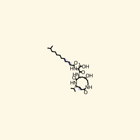 CC(C)CCCCC/C=C/C=C/C(=O)N[C@H](C(=O)N[C@H]1C[C@@H](O)CCNC(=O)/C=C/[C@H](C(C)C)NC1=O)[C@@H](C)O